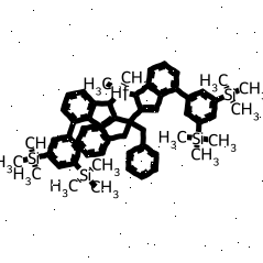 C[Si](C)(C)c1cc(-c2cccc3c2C=C2[CH]3[Hf]([CH3])([CH3])[CH]3C(=Cc4c(-c5cc([Si](C)(C)C)cc([Si](C)(C)C)c5)cccc43)C2(Cc2ccccc2)Cc2ccccc2)cc([Si](C)(C)C)c1